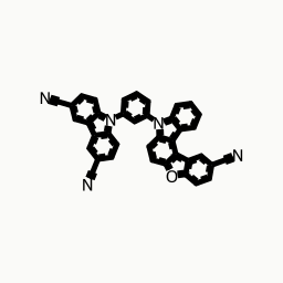 N#Cc1ccc2oc3ccc4c(c5ccccc5n4-c4cccc(-n5c6ccc(C#N)cc6c6cc(C#N)ccc65)c4)c3c2c1